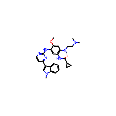 COc1cc(N(C)CCN(C)C)c(NC(=O)C2CC2)cc1Nc1nccc(-c2cn(C)c3ccccc23)n1